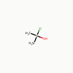 C[Si](O)([SiH3])Cl